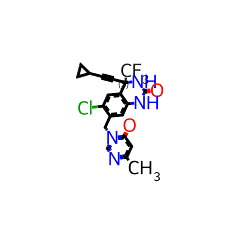 Cc1cc(=O)n(Cc2cc3c(cc2Cl)[C@@](C#CC2CC2)(C(F)(F)F)NC(=O)N3)cn1